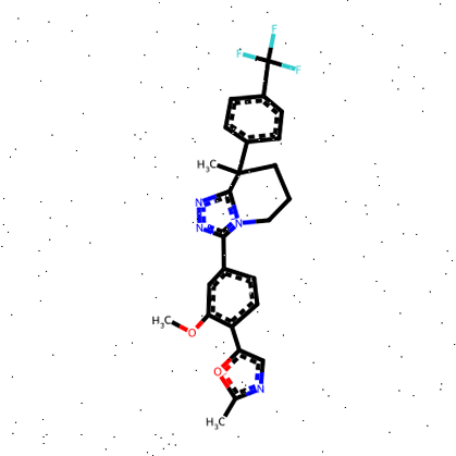 COc1cc(-c2nnc3n2CCCC3(C)c2ccc(C(F)(F)F)cc2)ccc1-c1cnc(C)o1